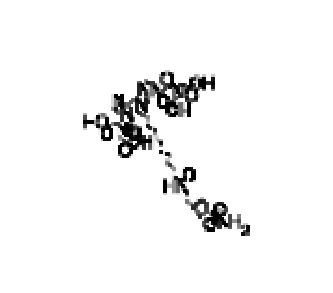 NS(=O)(=O)c1ccc(CCNC(=O)CCCCCCCCCCCN(Cc2nccn2CC(=O)N(CC(=O)O)CC(=O)O)Cc2nccn2CC(=O)N(CC(=O)O)CC(=O)O)cc1